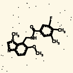 COc1ccc2ncn(C)c2c1CNC(=O)c1cc(C)c(C)c(F)c1